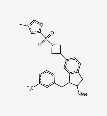 CNC1Cc2ccc(C3CN(S(=O)(=O)c4cn(C)cn4)C3)cc2C1Cc1cccc(C(F)(F)F)c1